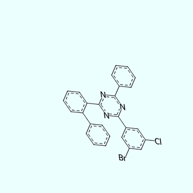 Clc1cc(Br)cc(-c2nc(-c3ccccc3)nc(-c3ccccc3-c3ccccc3)n2)c1